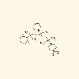 CC(C)(CCC(C)(CCC(C)(C)N1CCS(=O)(=O)CC1)N1CCOCC1)C1OCCCO1